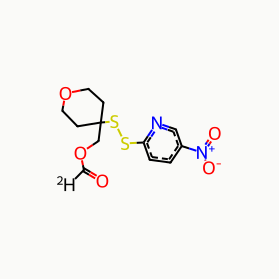 [2H]C(=O)OCC1(SSc2ccc([N+](=O)[O-])cn2)CCOCC1